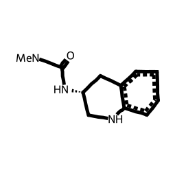 CNC(=O)N[C@H]1CNc2ccccc2C1